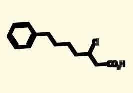 O=C(O)CC(Cl)CCCCc1ccccc1